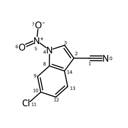 N#Cc1cn([N+](=O)[O-])c2cc(Cl)ccc12